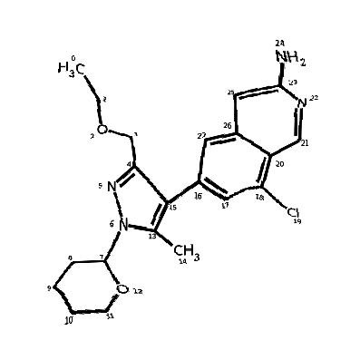 CCOCc1nn(C2CCCCO2)c(C)c1-c1cc(Cl)c2cnc(N)cc2c1